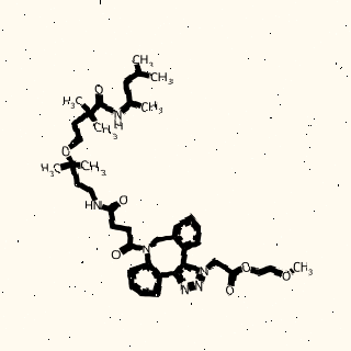 COCCOC(=O)Cn1nnc2c1-c1ccccc1CN(C(=O)CCC(=O)NCCC(C)(C)OCCC(C)(C)C(=O)NC(C)CC(C)C)c1ccccc1-2